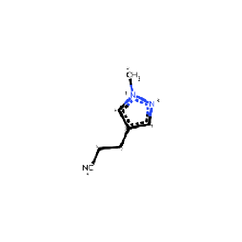 Cn1cc(CCC#N)cn1